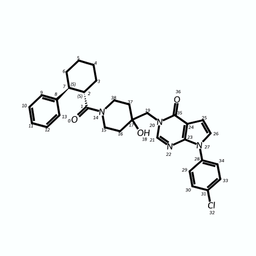 O=C([C@H]1CCCC[C@@H]1c1ccccc1)N1CCC(O)(Cn2cnc3c(ccn3-c3ccc(Cl)cc3)c2=O)CC1